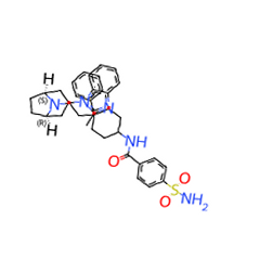 Cc1nc2ccccc2n1C1C[C@H]2CC[C@@H](C1)N2CCC1(c2ccccc2)CCC(NC(=O)c2ccc(S(N)(=O)=O)cc2)CC1